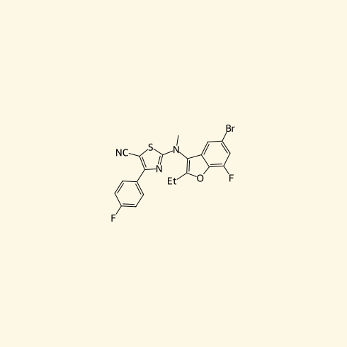 CCc1oc2c(F)cc(Br)cc2c1N(C)c1nc(-c2ccc(F)cc2)c(C#N)s1